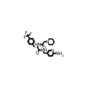 Nc1ccc(CNC(=O)[C@H](Cc2ccc(C(F)(F)F)cc2)NC(=O)CN2CCCCC2)cn1